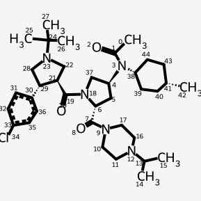 CC(=O)N([C@H]1C[C@H](C(=O)N2CCN(C(C)C)CC2)N(C(=O)[C@@H]2CN(C(C)(C)C)C[C@H]2c2ccc(Cl)cc2)C1)[C@H]1CC[C@@H](C)CC1